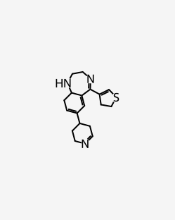 C1=NCCC(C2=CCC3NCCN=C(C4=CSCC4)C3=C2)C1